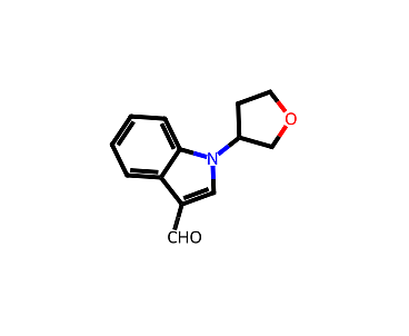 O=Cc1cn(C2CCOC2)c2ccccc12